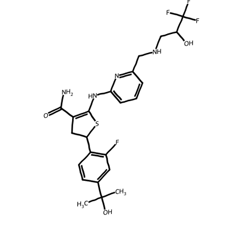 CC(C)(O)c1ccc(C2CC(C(N)=O)=C(Nc3cccc(CNCC(O)C(F)(F)F)n3)S2)c(F)c1